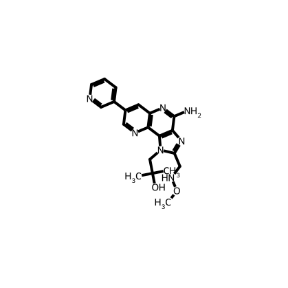 CONCc1nc2c(N)nc3cc(-c4cccnc4)cnc3c2n1CC(C)(C)O